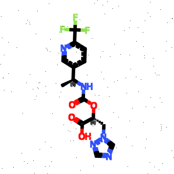 C[C@H](NC(=O)O[C@H](Cn1cncn1)C(=O)O)c1ccc(C(F)(F)F)nc1